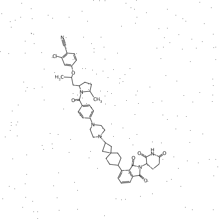 CC(CC1CCC(C)N1C(=O)c1ccc(N2CCN(C3CC4(CCC(c5cccc6c5C(=O)N(C5CCC(=O)NC5=O)C6=O)CC4)C3)CC2)cc1)Oc1ccc(C#N)c(Cl)c1